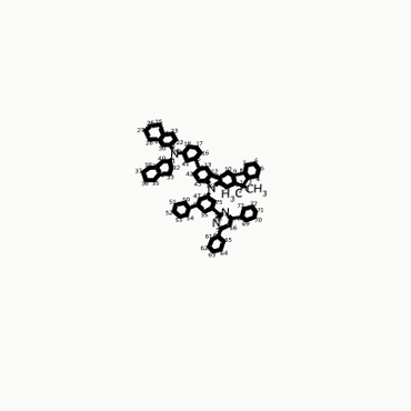 CC1(C)c2ccccc2-c2cc3c4cc(-c5cccc(N(c6ccc7ccccc7c6)c6ccc7ccccc7c6)c5)ccc4n(-c4cc(-c5ccccc5)cc(-c5nc(-c6ccccc6)cc(-c6ccccc6)n5)c4)c3cc21